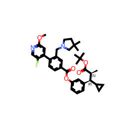 COc1cc(-c2ccc(C(=O)Oc3cccc([C@H](C4CC4)[C@H](C)C(=O)OC(C)(C)C)c3)cc2CN2CCC(C)(C)C2)c(F)cn1